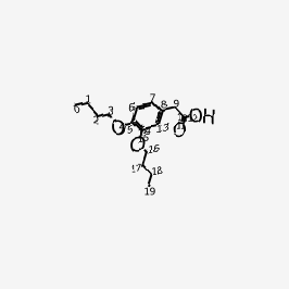 CCCCOc1ccc(CC(=O)O)cc1OCCCC